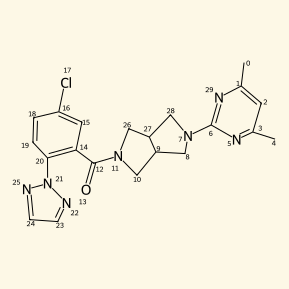 Cc1cc(C)nc(N2CC3CN(C(=O)c4cc(Cl)ccc4-n4nccn4)CC3C2)n1